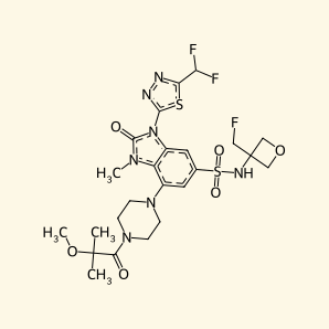 COC(C)(C)C(=O)N1CCN(c2cc(S(=O)(=O)NC3(CF)COC3)cc3c2n(C)c(=O)n3-c2nnc(C(F)F)s2)CC1